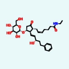 CCNC(=O)CCC/C=C\C[C@H]1C(=O)C[C@@H](O[C@H]2OC(CO)[C@@H](O)[C@H](O)C2O)[C@@H]1/C=C/[C@@H](O)CCc1ccccc1